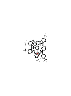 C[C@H]1C2=CC1c1cc(C(C)(C)C)ccc1N2c1cccc(-n2c3ccc(C(C)(C)C)cc3c3cc(C(C)(C)C)ccc32)c1-c1cc2c3c(c1)N(c1ccc(C(C)(C)C)cc1)c1ccc(C(C)(C)C)cc1B3c1cc(C(C)(C)C)ccc1O2